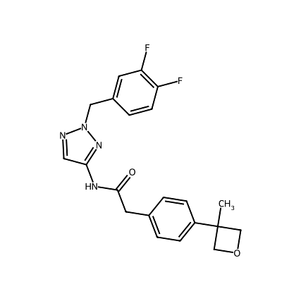 CC1(c2ccc(CC(=O)Nc3cnn(Cc4ccc(F)c(F)c4)n3)cc2)COC1